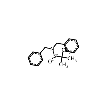 CC(C)(C)[S+]([O-])N(Cc1ccccc1)Cc1ccccc1